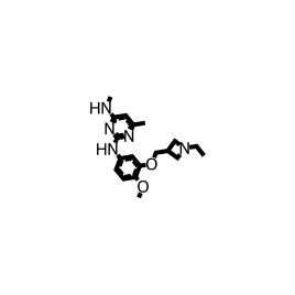 CCN1CC(COc2cc(Nc3nc(C)cc(NC)n3)ccc2OC)C1